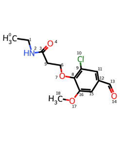 CCNC(=O)CCOc1c(Cl)cc(C=O)cc1OC